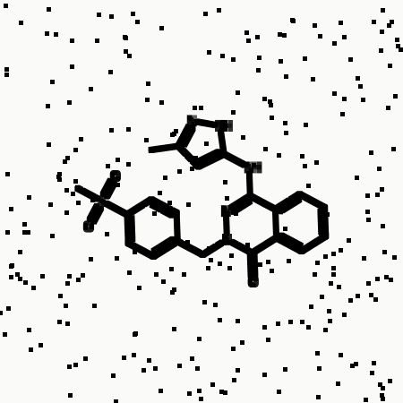 Cc1cc(Nc2nn(Cc3ccc(S(C)(=O)=O)cc3)c(=O)c3ccccc23)[nH]n1